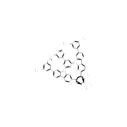 Cc1cc(-c2cc(-n3c4cc(-c5cc(C#N)cc(C#N)c5)ccc4c4ccc(-c5cc(C#N)cc(C#N)c5)cc43)c(C#N)c(-n3c4cc(-c5cc(C#N)cc(C#N)c5)ccc4c4ccc(-c5cc(C#N)cc(C#N)c5)cc43)c2)cc(C)n1